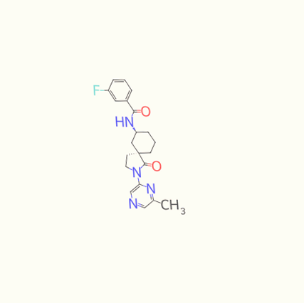 Cc1cncc(N2CC[C@]3(CCC[C@H](NC(=O)c4cccc(F)c4)C3)C2=O)n1